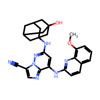 COc1cccc2ccc(Nc3cc(NC45CC6CC(CC(O)(C6)C4)C5)nn4c(C#N)cnc34)nc12